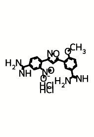 COc1ccc(C(=N)N)cc1-c1cc(-c2ccc(C(=N)N)cc2[N+](=O)[O-])no1.Cl.Cl